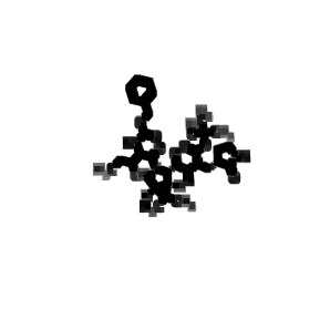 CCC(C)C(NC(=O)OCc1ccccc1)C(=O)N1C[C@H]2[C@@H]([C@H]1C(=O)NN(C[C@@H]1CCNC1=O)C(=O)OC(C)(C)C)C2(C)C